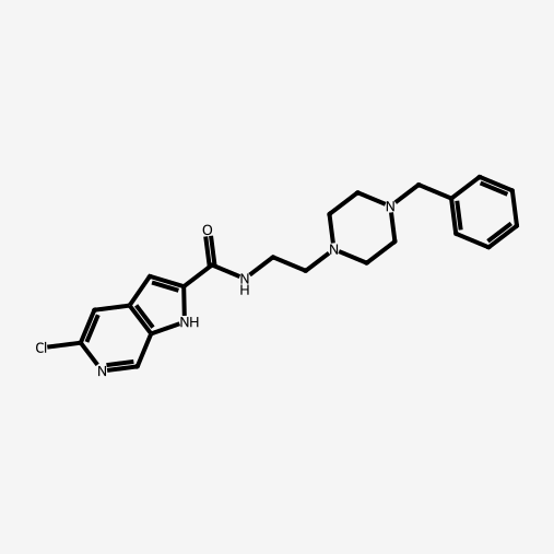 O=C(NCCN1CCN(Cc2ccccc2)CC1)c1cc2cc(Cl)ncc2[nH]1